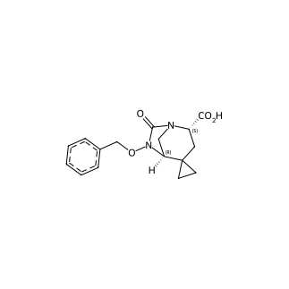 O=C(O)[C@@H]1CC2(CC2)[C@@H]2CN1C(=O)N2OCc1ccccc1